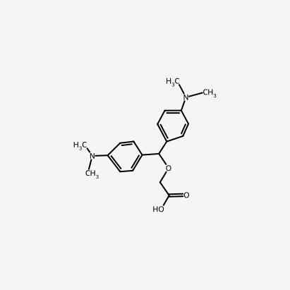 CN(C)c1ccc(C(OCC(=O)O)c2ccc(N(C)C)cc2)cc1